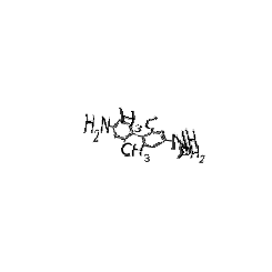 Cc1cc(N)ccc1-c1ccc(NP)cc1C